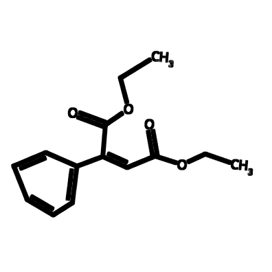 CCOC(=O)/C=C(\C(=O)OCC)c1ccccc1